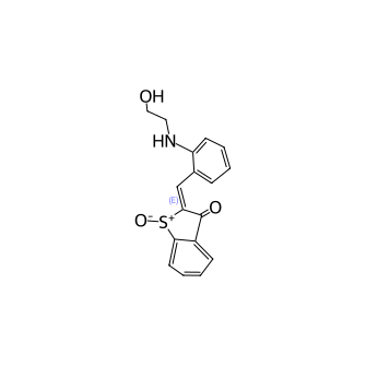 O=C1/C(=C\c2ccccc2NCCO)[S+]([O-])c2ccccc21